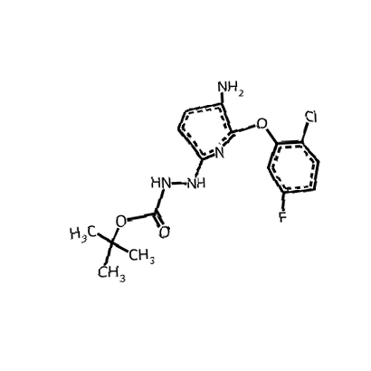 CC(C)(C)OC(=O)NNc1ccc(N)c(Oc2cc(F)ccc2Cl)n1